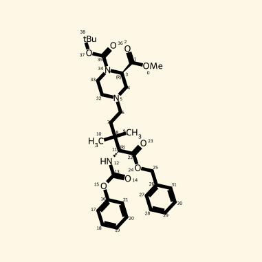 COC(=O)[C@H]1CN(CCC(C)(C)[C@@H](NC(=O)Oc2ccccc2)C(=O)OCc2ccccc2)CCN1C(=O)OC(C)(C)C